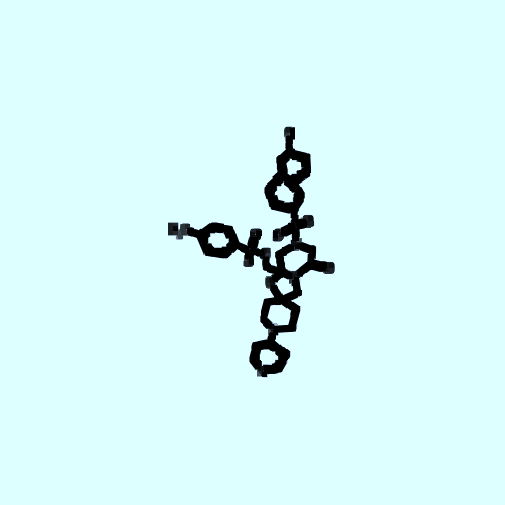 Cc1ccc(S(=O)(=O)OCC23CN(S(=O)(=O)c4ccc5cc(Cl)ccc5c4)CC(=O)N2CC2(CCN(c4ccncc4)CC2)O3)cc1